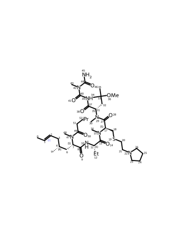 C/C=C/C[C@@H](C)C[C@@H](C(=O)N[C@@H](CC)C(=O)N(C)[C@H](CSCCN1CCCC1)C(=O)N(C)[C@@H](CC(C)(C)OC)C(=O)NC(=O)N(C)C(N)=O)N(C)C(=O)CC(C)C